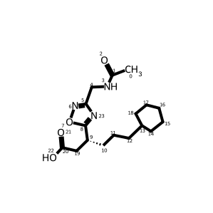 CC(=O)NCc1noc([C@H](CCCC2CCCCC2)CC(=O)O)n1